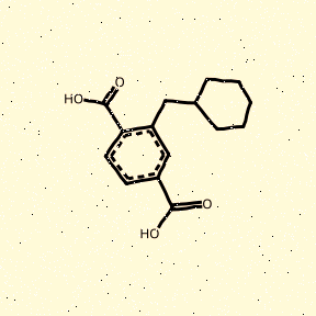 O=C(O)c1ccc(C(=O)O)c(CC2CCCCC2)c1